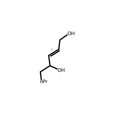 CCCCC(O)/C=C/CO